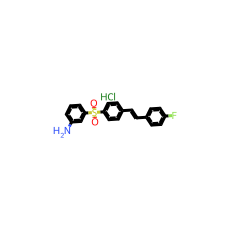 Cl.Nc1cccc(S(=O)(=O)c2ccc(C=Cc3ccc(F)cc3)cc2)c1